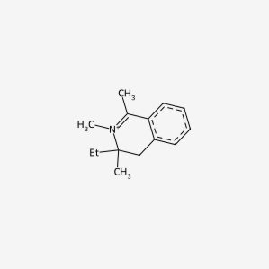 CCC1(C)Cc2ccccc2C(C)=[N+]1C